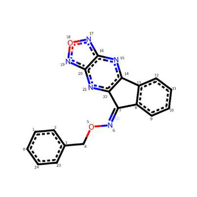 c1ccc(CO/N=C2/c3ccccc3-c3nc4nonc4nc32)cc1